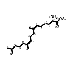 CC(=O)OC(=O)[C@@H](N)CSCC=C(C)CCC=C(C)CCC=C(C)C